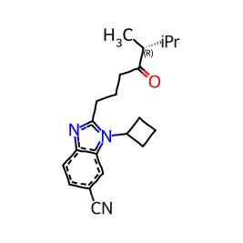 CC(C)[C@@H](C)C(=O)CCCc1nc2ccc(C#N)cc2n1C1CCC1